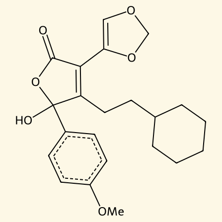 COc1ccc(C2(O)OC(=O)C(C3=COCO3)=C2CCC2CCCCC2)cc1